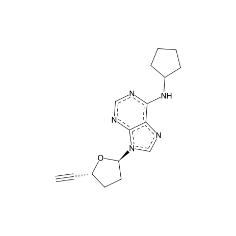 C#C[C@H]1CC[C@H](n2cnc3c(NC4CCCC4)ncnc32)O1